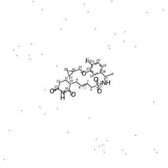 CC(NS(=O)(=O)C/C=C/CC1CCC(=O)NC1=O)c1ccc(F)c(OCC2CC2)c1